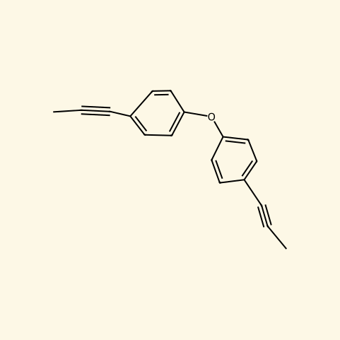 CC#Cc1ccc(Oc2ccc(C#CC)cc2)cc1